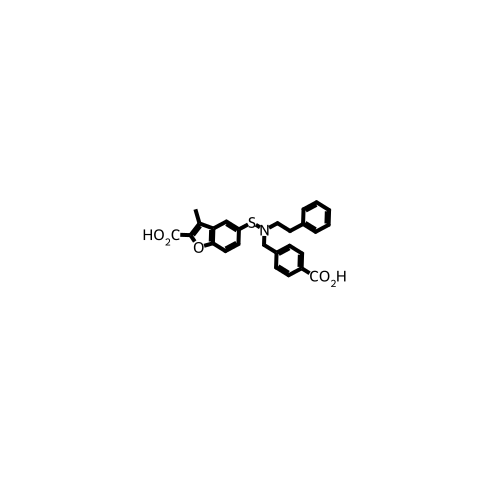 Cc1c(C(=O)O)oc2ccc(SN(CCc3ccccc3)Cc3ccc(C(=O)O)cc3)cc12